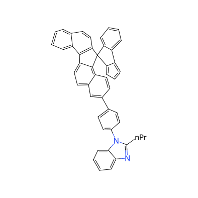 CCCc1nc2ccccc2n1-c1ccc(-c2ccc3c4c(ccc3c2)-c2c(ccc3ccccc23)C42c3ccccc3-c3ccccc32)cc1